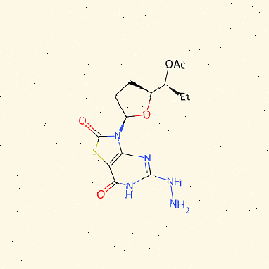 CC[C@H](OC(C)=O)[C@@H]1CC[C@H](n2c(=O)sc3c(=O)[nH]c(NN)nc32)O1